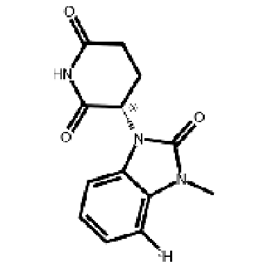 [2H]c1cccc2c1n(C)c(=O)n2[C@H]1CCC(=O)NC1=O